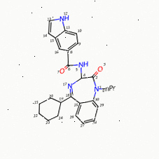 CCCN1C(=O)C(NC(=O)c2ccc3[nH]ccc3c2)N=C(C2CCCCC2)c2ccccc21